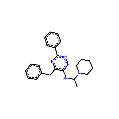 CC(Nc1nnc(-c2ccccc2)nc1Cc1ccccc1)N1CCCCC1